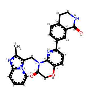 Cc1nc2ccccn2c1CN1C(=O)COc2ccc(-c3ccc4c(c3)C(=O)NCC4)nc21